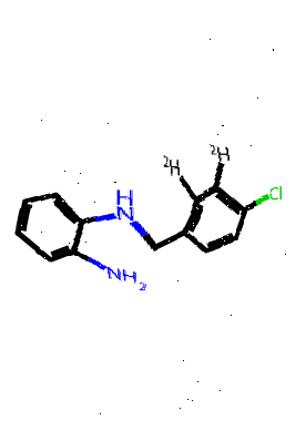 [2H]c1c(Cl)ccc(CNc2ccccc2N)c1[2H]